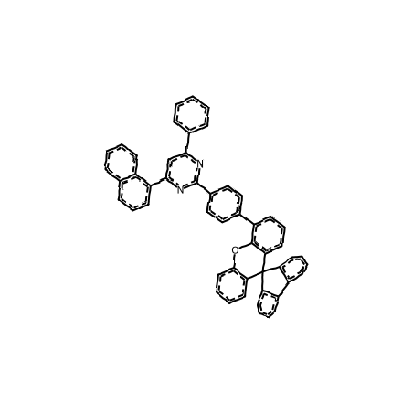 c1ccc(-c2cc(-c3cccc4ccccc34)nc(-c3ccc(-c4cccc5c4Oc4ccccc4C54c5ccccc5-c5ccccc54)cc3)n2)cc1